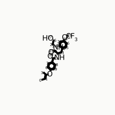 C/C=C(\C)Oc1ccc(C(=O)NC(Cc2ccc(OC(F)(F)F)cc2)C(=O)NCCO)cc1